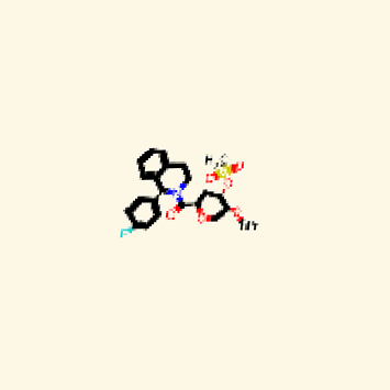 CCCO[C@H]1CO[C@@H](C(=O)N2CCc3ccccc3[C@@H]2c2ccc(F)cc2)C[C@@H]1OS(C)(=O)=O